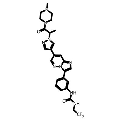 CC(C(=O)N1CCN(C)CC1)n1cc(-c2cnn3c(-c4cccc(NC(=O)NCC(F)(F)F)c4)cnc3c2)cn1